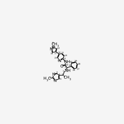 Cc1ncc([C@@H](C)CNC(C(=O)Nc2ccc(-c3cnn(C)c3)cn2)c2ccccc2)cn1